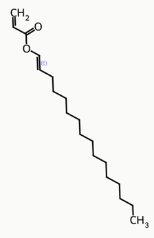 C=CC(=O)O/C=C/CCCCCCCCCCCCCC